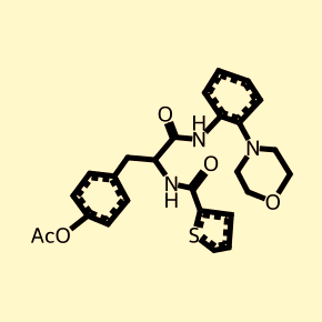 CC(=O)Oc1ccc(CC(NC(=O)c2cccs2)C(=O)Nc2ccccc2N2CCOCC2)cc1